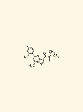 Cc1cc(-c2ccc(F)cc2C#N)nc2c(C(=O)N[C@H](C)C(F)(F)F)cnn12